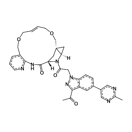 CC(=O)c1nn(CC(=O)N2[C@H]3C[C@@]4(COC/C=C/COCc5cccnc5NC3=O)C[C@@H]24)c2ccc(-c3cnc(C)nc3)cc12